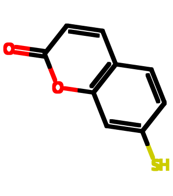 O=c1ccc2ccc(S)cc2o1